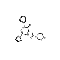 O=C(N[C@@H](CC(=O)N1CCNCC1)C(=O)Nc1ccccc1)c1ccco1